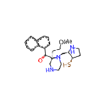 COCC[C@@]1(C(=O)c2cccc3ccccc23)CNCCN1C[C@H]1NCC[C@H]1S